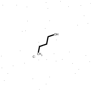 CCCCO.[C]